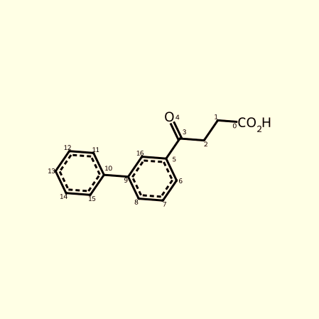 O=C(O)CCC(=O)c1cccc(-c2ccccc2)c1